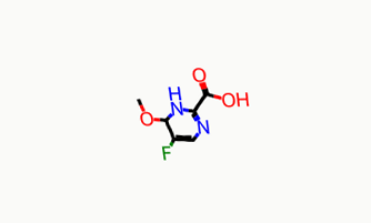 COC1NC(C(=O)O)=NC=C1F